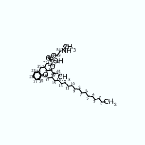 CCCCCCCCCCCCCCCCCCOc1ccccc1CC(COP(=O)(O)OCCNC)CC(=O)CCC